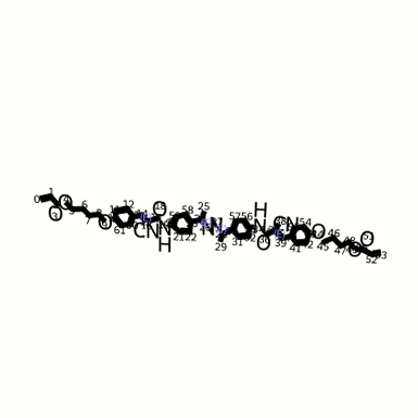 C=CC(=O)OCCCCOc1ccc(/C=C(\C#N)C(=O)Nc2ccc(/C(C)=N/N=C(\C)c3ccc(NC(=O)/C(C#N)=C/c4ccc(OCCCCOC(=O)C=C)cc4)cc3)cc2)cc1